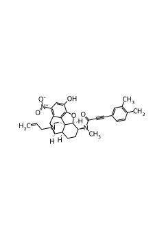 C=CCN1CC[C@]23c4c5c([N+](=O)[O-])cc(O)c4O[C@H]2[C@@H](N(C)C(=O)C#Cc2ccc(C)c(C)c2)CC[C@H]3[C@H]1C5